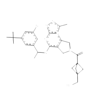 Cc1nnc2nc(NC(C)c3cc(N)cc(C(F)(F)F)c3)c3c(n12)CN(C(=O)C12CC(CO)(C1)C2)C3